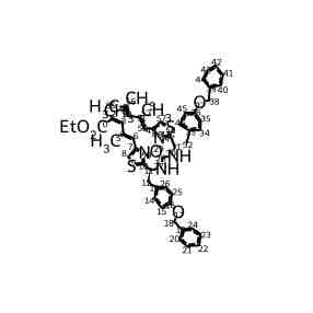 CCOC(=O)/C(C)=C\C(C)=C\c1csc([C@H](Cc2ccc(OCc3ccccc3)cc2)NC(=O)N[C@@H](Cc2ccc(OCc3ccccc3)cc2)c2nc(/C=C(\C)C=C(C)C)cs2)n1